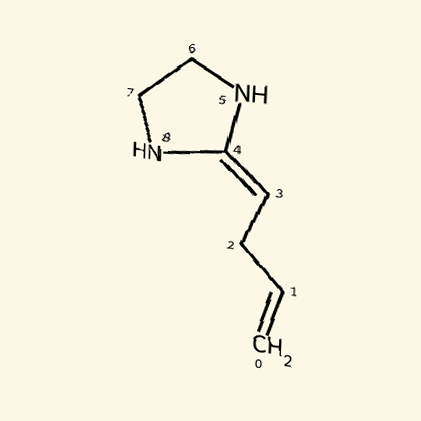 C=CCC=C1NCCN1